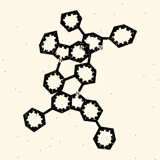 c1ccc(-c2ccc3c(c2)c2cc(-c4ccccc4)ccc2n3-c2ccc(-c3nc(-c4ccccc4)cc(-c4ccccc4)n3)cc2-c2ccccc2-n2c3ccccc3c3ccccc32)cc1